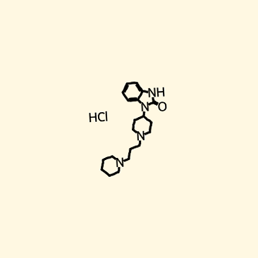 Cl.O=c1[nH]c2ccccc2n1C1CCN(CCCN2CCCCC2)CC1